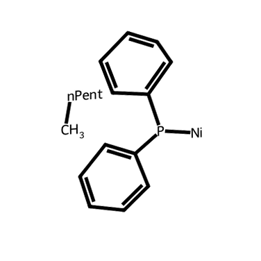 CCCCCC.[Ni][P](c1ccccc1)c1ccccc1